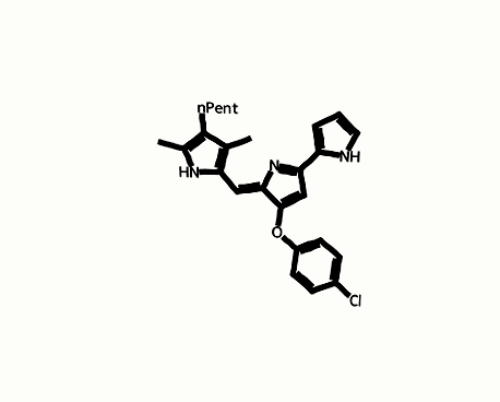 CCCCCc1c(C)[nH]c(/C=C2\N=C(c3ccc[nH]3)C=C2Oc2ccc(Cl)cc2)c1C